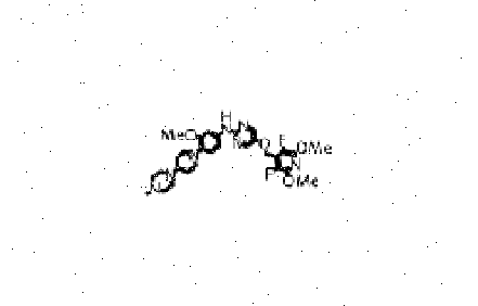 COc1cc(Nc2ncc(OCc3c(F)c(OC)nc(OC)c3F)cn2)ccc1N1CCC(N2CCN(C)CC2)CC1